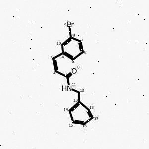 O=C(/C=C\c1cccc(Br)c1)NCc1ccccc1